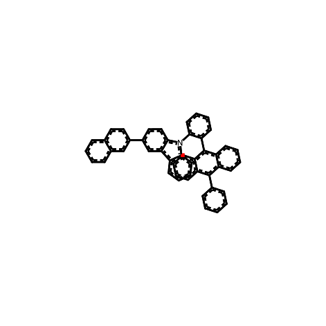 c1ccc(-c2c3ccccc3c(-c3ccccc3-n3c4ccccc4c4cc(-c5ccc6ccccc6c5)ccc43)c3ccccc23)cc1